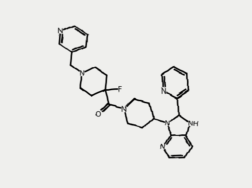 O=C(N1CCC(N2c3ncccc3NC2c2ccccn2)CC1)C1(F)CCN(Cc2cccnc2)CC1